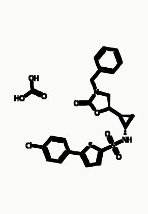 O=C(O)O.O=C1O[C@H]([C@H]2C[C@@H]2NS(=O)(=O)c2ccc(-c3ccc(Cl)cc3)s2)CN1Cc1ccccc1